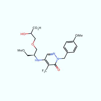 COC[C@@H](COCC(O)C(=O)O)Nc1cnn(Cc2ccc(OC)cc2)c(=O)c1C(F)(F)F